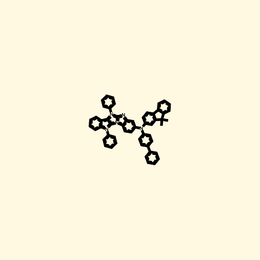 CC1(C)c2ccccc2-c2ccc(N(c3ccc(-c4ccccc4)cc3)c3ccc4c(c3)nc3n(-c5ccccc5)c5c6ccccc6n(-c6ccccc6)c5n43)cc21